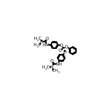 CN(C)C(=O)Nc1ccc(OP(=O)(Oc2ccccc2)Oc2ccc(NC(=O)N(C)C)cc2)cc1